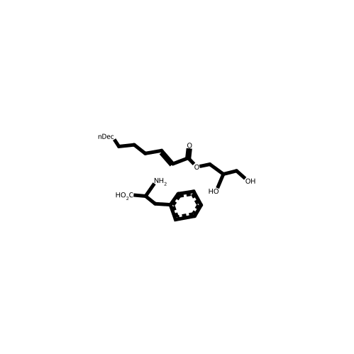 CCCCCCCCCCCCC/C=C/C(=O)OCC(O)CO.NC(Cc1ccccc1)C(=O)O